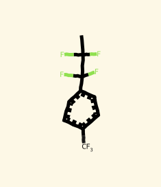 CC(F)(F)C(F)(F)c1ccc(C(F)(F)F)cc1